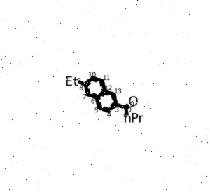 CCCC(=O)c1ccc2cc(CC)ccc2c1